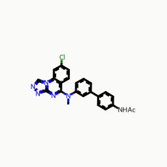 CC(=O)Nc1ccc(-c2cccc(N(C)c3nc4nncn4c4cc(Cl)ccc34)c2)cc1